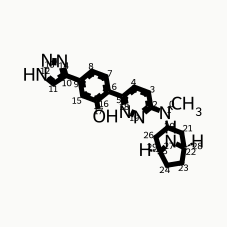 CN(c1ccc(-c2ccc(-c3c[nH]nn3)cc2O)nn1)[C@@H]1C[C@H]2CC[C@@H](C1)N2